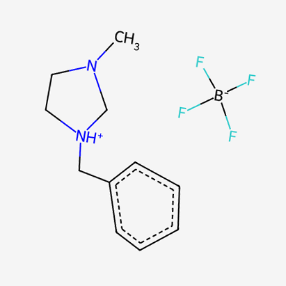 CN1CC[NH+](Cc2ccccc2)C1.F[B-](F)(F)F